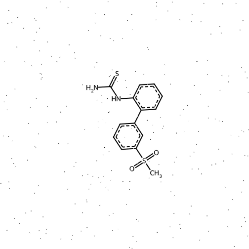 CS(=O)(=O)c1cccc(-c2ccccc2NC(N)=S)c1